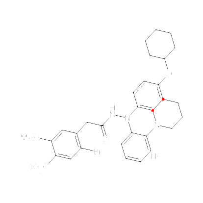 COc1cc(CC(=O)NN(c2ccc(OC3CCCCC3)cc2)c2ccccc2N2CCCCC2)c(Br)cc1C(=O)O.Cl